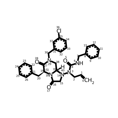 C=CCN(C(=O)NCc1ccccc1)N1CC(=O)N2[C@@H](Cc3ccccc3)C(=O)N(Cc3cccc(Cl)c3)C[C@@H]21